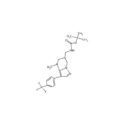 CN1CC(CNC(=O)OC(C)(C)C)Cn2ncc(-c3ccc(C(F)(F)F)cc3)c21